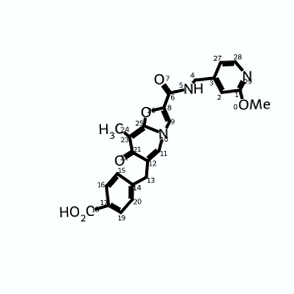 COc1cc(CNC(=O)c2cn3cc(Cc4ccc(C(=O)O)cc4)c(=O)c(C)c3o2)ccn1